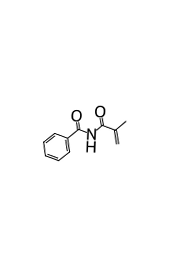 C=C(C)C(=O)NC(=O)c1ccccc1